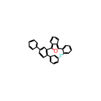 Fc1ccccc1-c1oc(-c2cc(-c3ccccc3)ccc2-c2ccccc2)c2ccccc12